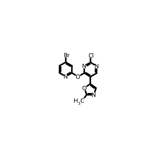 Cc1ncc(-c2cnc(Cl)nc2Oc2cc(Br)ccn2)o1